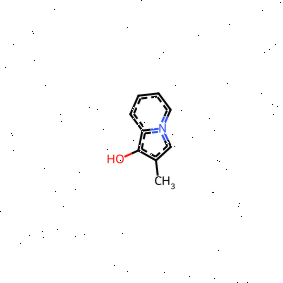 Cc1[c]n2ccccc2c1O